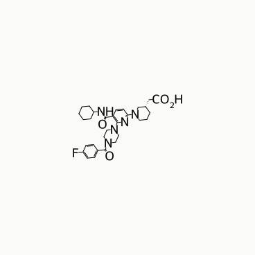 O=C(O)C[C@@H]1CCCN(c2ccc(C(=O)NC3CCCCC3)c(N3CCN(C(=O)c4ccc(F)cc4)CC3)n2)C1